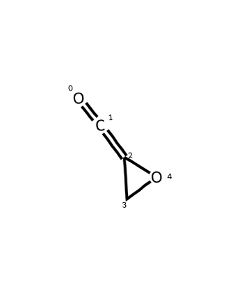 O=C=C1CO1